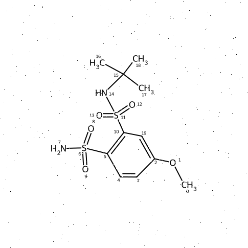 COc1ccc(S(N)(=O)=O)c(S(=O)(=O)NC(C)(C)C)c1